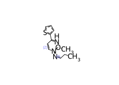 CC/C=N\N(/C=C\C(=N)c1cccs1)OC